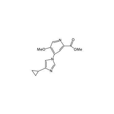 COC(=O)c1cc(-n2cnc(C3CC3)c2)c(OC)cn1